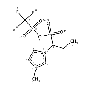 CCC([n+]1ccn(C)c1)S(=O)(=O)OS(=O)(=O)C(F)(F)F